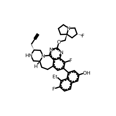 C#CC[C@@H]1CN2c3nc(OC[C@@]45CCCN4C[C@H](F)C5)nc4c(F)c(-c5cc(O)cc6ccc(F)c(CC)c56)cc(c34)CC[C@@H]2CN1